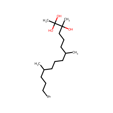 CC(C)CCCC(C)CCCC(C)CCCC(C)(O)C(C)(O)O